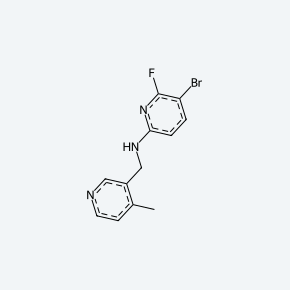 Cc1ccncc1CNc1ccc(Br)c(F)n1